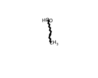 CCCCC#CCCCCCCC(=O)O